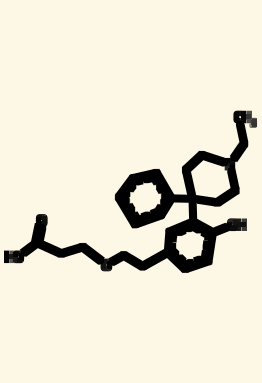 CCN1CCC(c2ccccc2)(c2cc(CCOCCC(=O)O)ccc2O)CC1